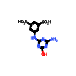 Nc1nc(O)nc(Nc2cc(S(=O)(=O)O)cc(S(=O)(=O)O)c2)n1